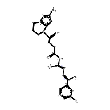 Cc1cc2n(n1)CCCN2C(=O)CCC(=O)N/C(N)=C/C=C(\N)c1cncc(Cl)c1